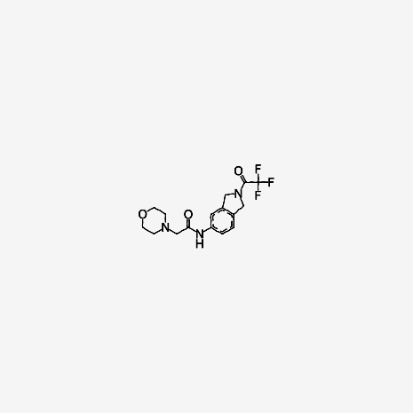 O=C(CN1CCOCC1)Nc1ccc2c(c1)CN(C(=O)C(F)(F)F)C2